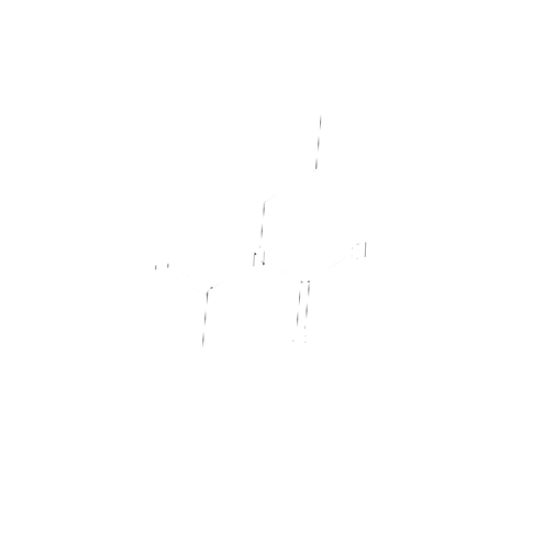 CCCN(C(C)=O)C(=O)Cl